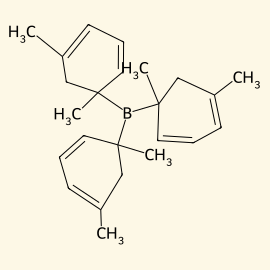 CC1=CC=CC(C)(B(C2(C)C=CC=C(C)C2)C2(C)C=CC=C(C)C2)C1